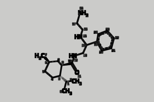 CC(C)[C@@H]1CC[C@@H](C)C[C@H]1C(=O)NCC(NCCN)c1ccccc1